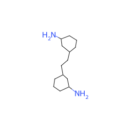 NC1CCCC(CCC2CCCC(N)C2)C1